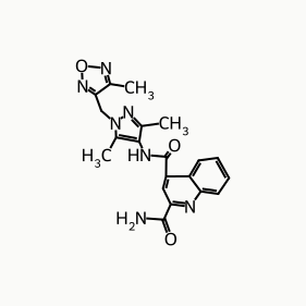 Cc1nonc1Cn1nc(C)c(NC(=O)c2cc(C(N)=O)nc3ccccc23)c1C